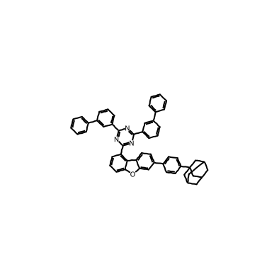 c1ccc(-c2cccc(-c3nc(-c4cccc(-c5ccccc5)c4)nc(-c4cccc5oc6cc(-c7ccc(C89CC%10CC(CC(C%10)C8)C9)cc7)ccc6c45)n3)c2)cc1